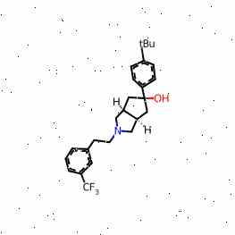 CC(C)(C)c1ccc([C@]2(O)C[C@H]3CN(CCc4cccc(C(F)(F)F)c4)C[C@H]3C2)cc1